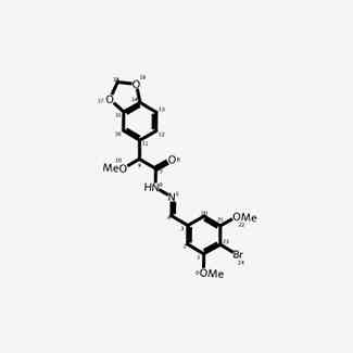 COc1cc(/C=N/NC(=O)C(OC)c2ccc3c(c2)OCO3)cc(OC)c1Br